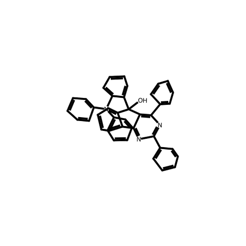 OC1(c2ccccc2N(c2ccccc2)c2ccccc2)c2ccccc2-c2nc(-c3ccccc3)nc(-c3ccccc3)c21